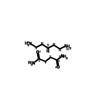 NC(=O)CCC(N)=O.NCCNCCN